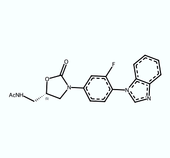 CC(=O)NC[C@H]1CN(c2ccc(-n3cnc4ccccc43)c(F)c2)C(=O)O1